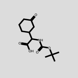 CC(C)(C)OC(=O)NC(C(=O)O)C1CCCC(=O)C1